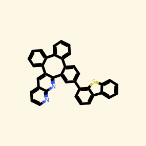 c1ccc2c(c1)-c1ccccc1-c1cc3cccnc3nc1-c1cc(-c3cccc4c3sc3ccccc34)ccc1-2